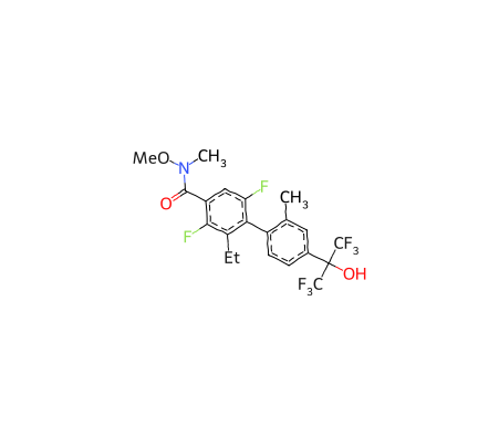 CCc1c(F)c(C(=O)N(C)OC)cc(F)c1-c1ccc(C(O)(C(F)(F)F)C(F)(F)F)cc1C